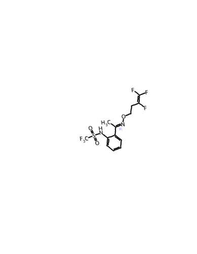 C/C(=N\OCCC(F)=C(F)F)c1ccccc1NS(=O)(=O)C(F)(F)F